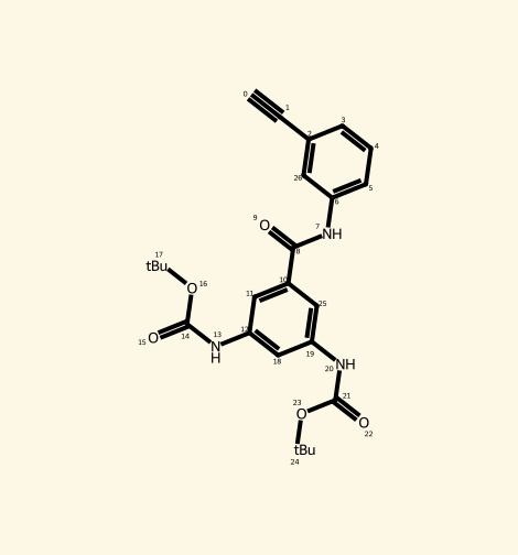 C#Cc1cccc(NC(=O)c2cc(NC(=O)OC(C)(C)C)cc(NC(=O)OC(C)(C)C)c2)c1